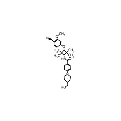 COc1cc(OC2C(C)(C)C(NC(=O)c3ccc(N4CCC(CO)CC4)cc3)C2(C)C)ccc1C#N